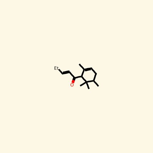 CCC=CC(=O)C1C(C)=CCC(C)C1(C)C